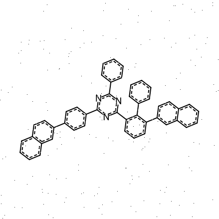 c1ccc(-c2nc(-c3ccc(-c4ccc5ccccc5c4)cc3)nc(-c3cccc(-c4ccc5ccccc5c4)c3-c3ccccc3)n2)cc1